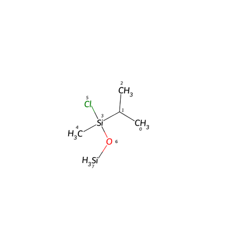 CC(C)[Si](C)(Cl)O[SiH3]